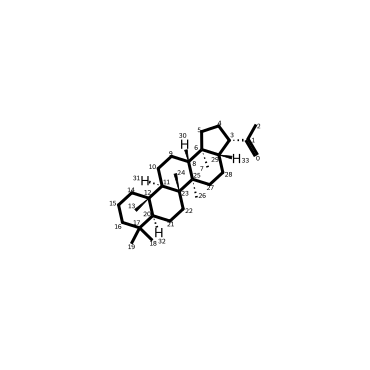 C=C(C)[C@H]1CC[C@]2(C)[C@H]3CC[C@@H]4[C@@]5(C)CCCC(C)(C)[C@@H]5CC[C@@]4(C)[C@]3(C)CC[C@@H]12